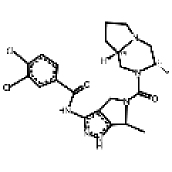 CC1c2[nH]nc(NC(=O)c3ccc(Cl)c(Cl)c3)c2CN1C(=O)N1C[C@@H]2CCCN2C[C@@H]1C